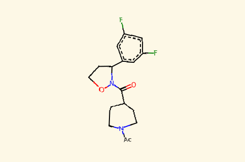 CC(=O)N1CCC(C(=O)N2OCCC2c2cc(F)cc(F)c2)CC1